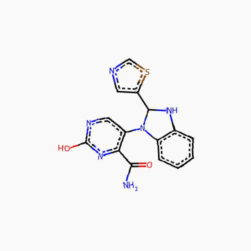 NC(=O)c1nc(O)ncc1N1c2ccccc2NC1c1cncs1